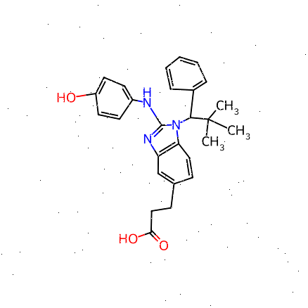 CC(C)(C)C(c1ccccc1)n1c(Nc2ccc(O)cc2)nc2cc(CCC(=O)O)ccc21